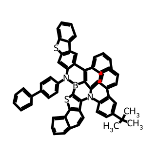 CC(C)(C)c1ccc(N2c3cc4ccccc4c4c3B(c3sc5c(ccc6ccccc65)c32)N(c2ccc(-c3ccccc3)cc2)c2cc3sc5ccccc5c3cc2-4)c(-c2ccccc2)c1